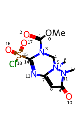 COC(=O)N1C[N+]2(C)C(=CC(=O)N2C)N=C1S(=O)(=O)Cl